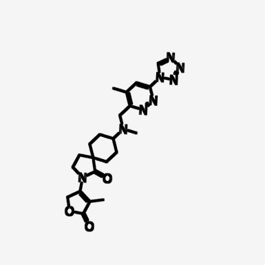 CC1=C(N2CCC3(CCC(N(C)Cc4nnc(-n5cnnn5)cc4C)CC3)C2=O)COC1=O